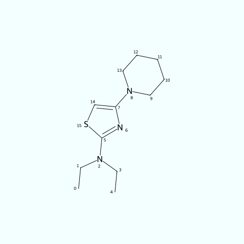 CCN(CC)c1nc(N2CCCCC2)cs1